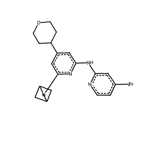 CC(C)c1ccnc(Nc2cc(C3CCOCC3)cc(N3CC4CC3C4)n2)c1